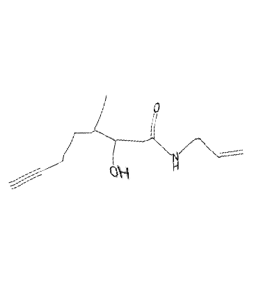 C#CCCC(C)C(O)C(=O)NCC=C